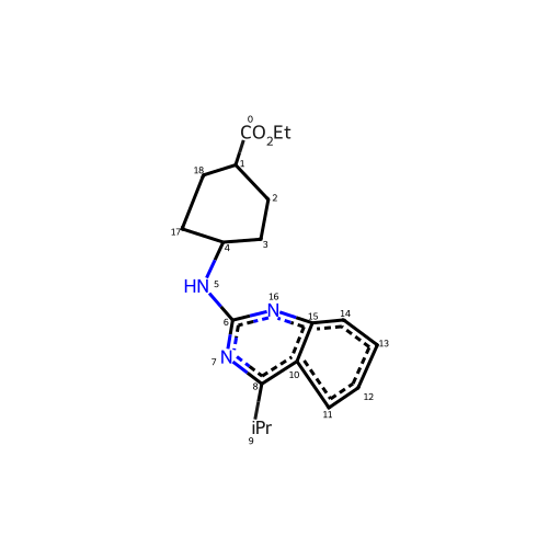 CCOC(=O)C1CCC(Nc2nc(C(C)C)c3ccccc3n2)CC1